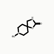 CCC(C)N1CCC2(CC1)CNC(=O)O2